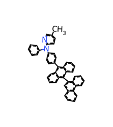 Cc1ccc(N(c2ccccc2)c2ccc(-c3c4ccccc4c(-c4cc5ccccc5c5ccccc45)c4ccccc34)cc2)nc1